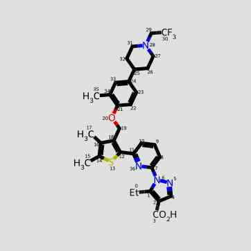 CCc1c(C(=O)O)cnn1-c1cccc(-c2sc(C)c(C)c2COc2ccc(C3CCN(CC(F)(F)F)CC3)cc2C)n1